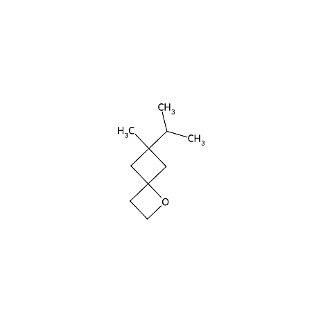 CC(C)C1(C)CC2(CCO2)C1